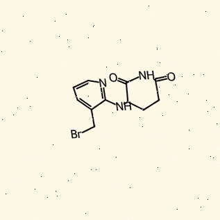 O=C1CCC(Nc2ncccc2CBr)C(=O)N1